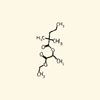 CCCC(C)(C)C(=O)OC(C)C(=O)OCC